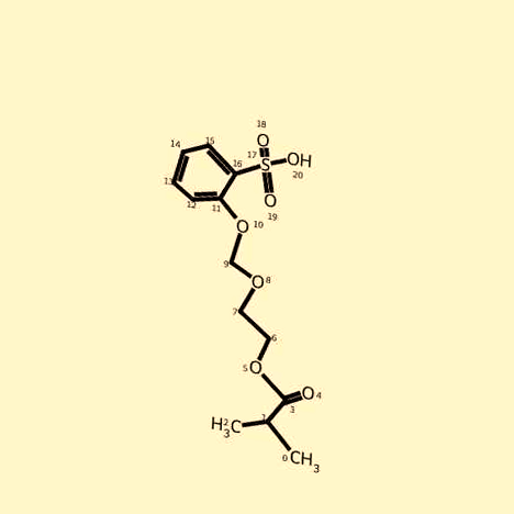 CC(C)C(=O)OCCOCOc1ccccc1S(=O)(=O)O